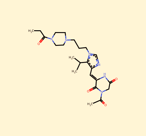 CCC(=O)N1CCN(CCCn2cnc(/C=C3\NC(=O)CN(C(C)=O)C3=O)c2C(C)C)CC1